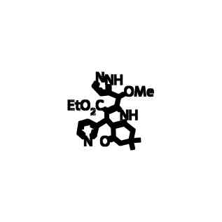 CCOC(=O)C1=C(C(OC)c2ccn[nH]2)NC2=C(C(=O)CC(C)(C)C2)C1c1cccnc1